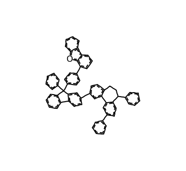 c1ccc(-c2ccc3c(c2)-c2cc(-c4ccc5c(c4)C(c4ccccc4)(c4ccc(-c6cccc7c6oc6ccccc67)cc4)c4ccccc4-5)ccc2CCC3c2ccccc2)cc1